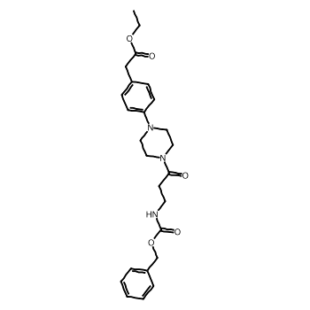 CCOC(=O)Cc1ccc(N2CCN(C(=O)CCNC(=O)OCc3ccccc3)CC2)cc1